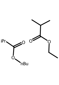 CCCCOC(=O)C(C)C.CCOC(=O)C(C)C